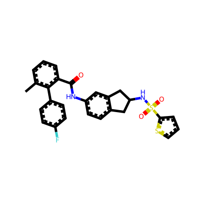 Cc1cccc(C(=O)Nc2ccc3c(c2)CC(NS(=O)(=O)c2cccs2)C3)c1-c1ccc(F)cc1